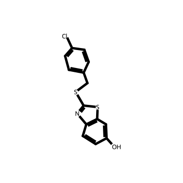 Oc1ccc2nc(SCc3ccc(Cl)cc3)sc2c1